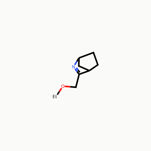 CCOCC1=NC2CCC1C2